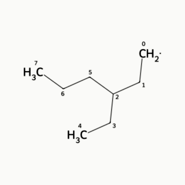 [CH2]CC(CC)CCC